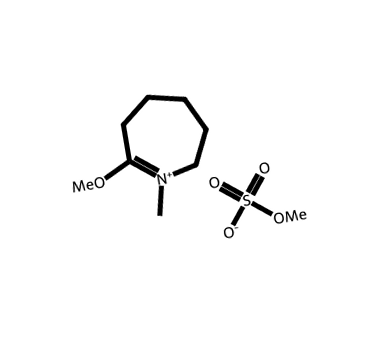 COC1=[N+](C)CCCCC1.COS(=O)(=O)[O-]